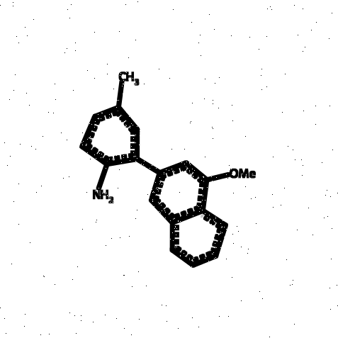 COc1cc(-c2cc(C)ccc2N)cc2ccccc12